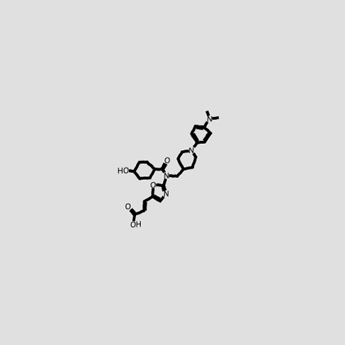 CN(C)c1ccc(N2CCC(CN(C(=O)C3CCC(O)CC3)c3ncc(/C=C/C(=O)O)o3)CC2)cc1